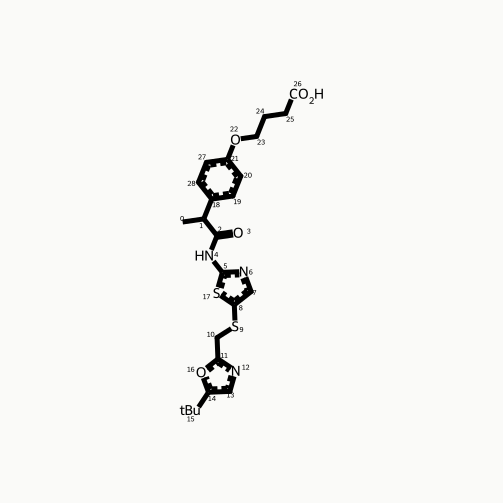 CC(C(=O)Nc1ncc(SCc2ncc(C(C)(C)C)o2)s1)c1ccc(OCCCC(=O)O)cc1